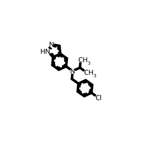 CC(C)N(Cc1ccc(Cl)cc1)c1ccc2[nH]ncc2c1